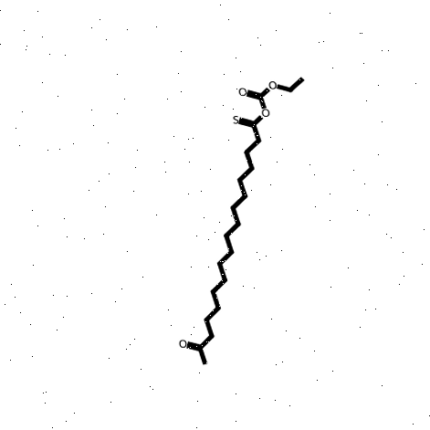 CCOC(=O)OC(=S)CCCCCCCCCCCCCCCC(C)=O